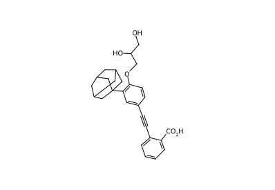 O=C(O)c1ccccc1C#Cc1ccc(OCC(O)CO)c(C23CC4CC(CC(C4)C2)C3)c1